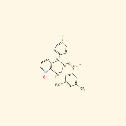 C[C@@H](O[C@H]1C[C@@H](F)c2c(ccc[n+]2[O-])[C@@H]1c1ccc(F)cc1)c1cc(C(F)(F)F)cc(C(F)(F)F)c1